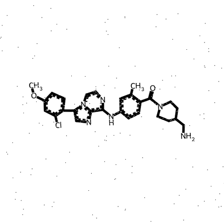 COc1ccc(-c2cnc3c(Nc4ccc(C(=O)N5CCC(CN)CC5)c(C)c4)nccn23)c(Cl)c1